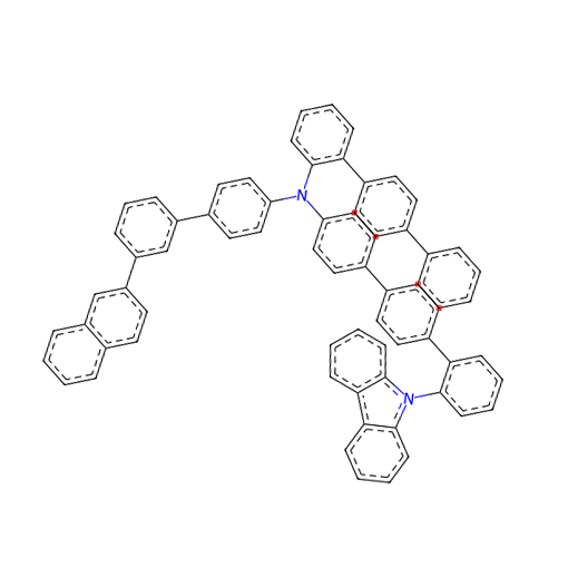 c1ccc(-c2ccc(-c3ccccc3N(c3ccc(-c4ccc(-c5ccccc5-n5c6ccccc6c6ccccc65)cc4)cc3)c3ccc(-c4cccc(-c5ccc6ccccc6c5)c4)cc3)cc2)cc1